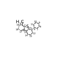 CC1=c2sc3c(-c4ccccc4)cccc3c2=CCC1